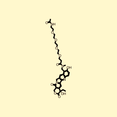 CC[C@@]1(O)C(=O)OCc2c1cc1n(c2=O)Cc2cc3c(CN(C)C(=O)CCOCCOCCOCCOCCNC(C)=O)c(O)ccc3nc2-1